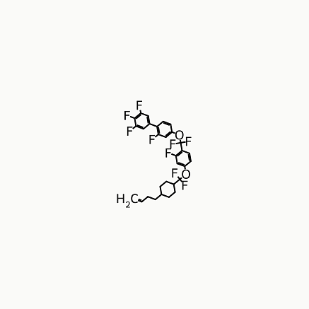 C=CCCC1CCC(C(F)(F)Oc2ccc(C(F)(F)Oc3ccc(-c4cc(F)c(F)c(F)c4)c(F)c3)c(F)c2)CC1